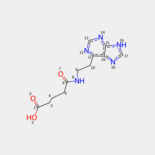 O=C(O)CCCC(=O)NCCc1ncnc2[nH]cnc12